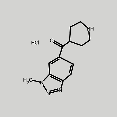 Cl.Cn1nnc2ccc(C(=O)C3CCNCC3)cc21